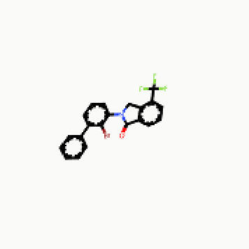 O=C1c2cccc(C(F)(F)F)c2CN1c1cccc(-c2ccccc2)c1Br